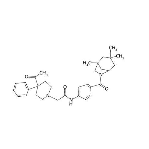 CC(=O)C1(c2ccccc2)CCN(CC(=O)Nc2ccc(C(=O)N3CC4(C)CC3CC(C)(C)C4)cc2)CC1